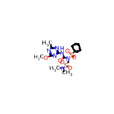 COc1nc(C)nc(NC(=O)N(CS(=O)(=O)N(C)C)S(=O)(=O)c2ccccc2)n1